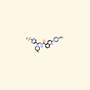 CC(C)N1CCN(c2ccc3c(C(=O)NCC(c4cnc(C(F)(F)F)nc4)N4CCC(C)(F)CC4)cccc3n2)CC1